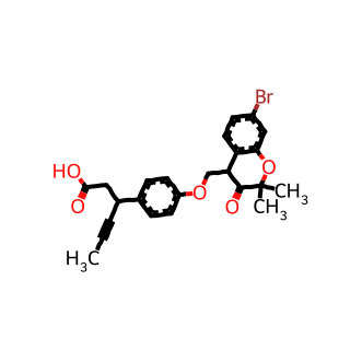 CC#CC(CC(=O)O)c1ccc(OCC2C(=O)C(C)(C)Oc3cc(Br)ccc32)cc1